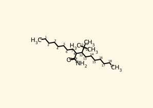 CCCCCCCCC(C(N)=O)C(CCCCCCC)C(C)(C)C